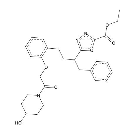 CCOC(=O)c1nnc(C([CH]Cc2ccccc2OCC(=O)N2CCC(O)CC2)Cc2ccccc2)o1